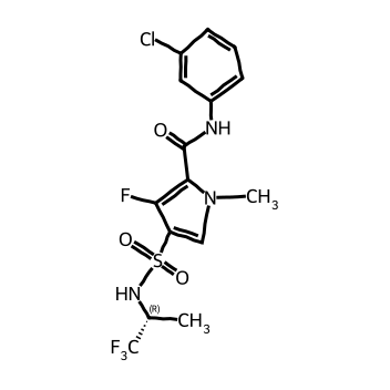 C[C@@H](NS(=O)(=O)c1cn(C)c(C(=O)Nc2cccc(Cl)c2)c1F)C(F)(F)F